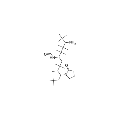 CC(C(CC(C)(C)C)N1CCCC1=O)C(C)(C)CC(NC=O)C(C)(C)C(C)(C)C(N)C(C)(C)C